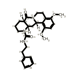 COc1ccc(OC)c2c1CCN1C(=O)[C@H]3CCCN(C(=O)NCCc4ccccc4)[C@H]3C[C@@H]21